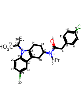 CCCN(C(=O)Cc1ccc(Cl)cc1)C1CCc2c(c3cc(F)ccc3n2C(CC)C(=O)O)C1